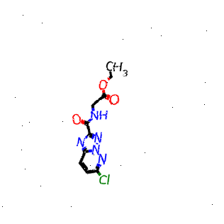 CCOC(=O)CNC(=O)c1nc2ccc(Cl)nn2n1